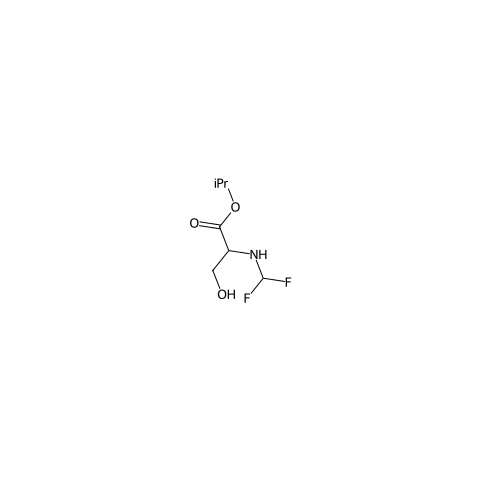 CC(C)OC(=O)C(CO)NC(F)F